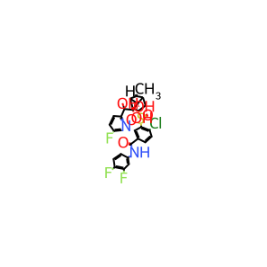 C[C@H]1C2CC(S(=O)(=O)c3cc(C(=O)Nc4ccc(F)c(F)c4)ccc3Cl)CC1[C@@]2(O)C(O)C(O)c1ccc(F)cn1